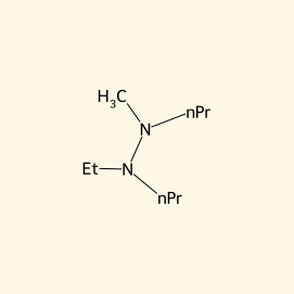 CCCN(C)N(CC)CCC